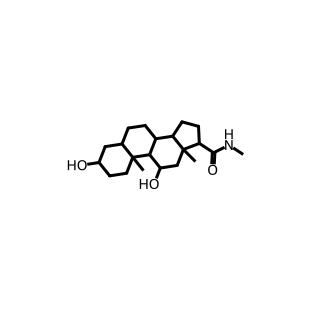 CNC(=O)C1CCC2C3CCC4CC(O)CCC4(C)C3C(O)CC12C